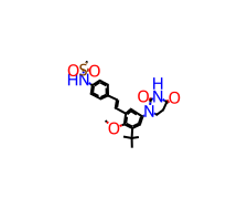 COc1c(C=Cc2ccc(NS(C)(=O)=O)cc2)cc(N2CCC(=O)NC2=O)cc1C(C)(C)C